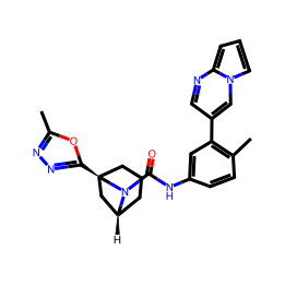 Cc1nnc([C@]23CCC[C@H](C2)N3C(=O)Nc2ccc(C)c(-c3cnc4cccn4c3)c2)o1